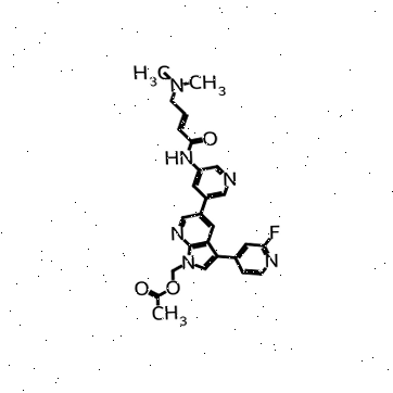 CC(=O)OCn1cc(-c2ccnc(F)c2)c2cc(-c3cncc(NC(=O)C=CCN(C)C)c3)cnc21